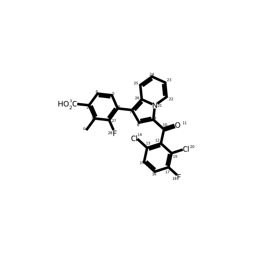 Cc1c(C(=O)O)ccc(-c2cc(C(=O)c3c(Cl)ccc(F)c3Cl)n3ccccc23)c1F